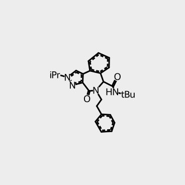 CC(C)n1cc2c(n1)C(=O)N(CCc1ccccc1)C(C(=O)NC(C)(C)C)c1ccccc1-2